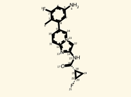 Cc1c(F)cc(N)cc1-c1ccc2nc(NC(=O)[C@@H]3C[C@@H]3F)cn2c1